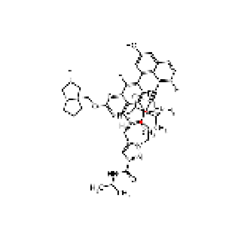 COc1c(F)c(-c2cc(O)cc3ccc(F)c(C#C[Si](C(C)C)(C(C)C)C(C)C)c23)c(F)c2nc(OC[C@@]34CCCN3C[C@H](F)C4)nc(N3CCCn4nc(C(=O)NC(C)C)cc4C3)c12